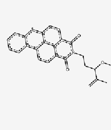 C=C(C)C(CCn1c(=O)c2ccc3sc4ccccc4c4ccc(c1=O)c2c34)OO